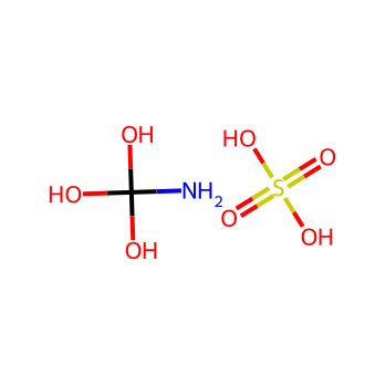 NC(O)(O)O.O=S(=O)(O)O